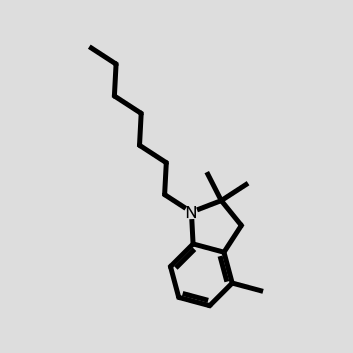 CCCCCCCN1c2cccc(C)c2CC1(C)C